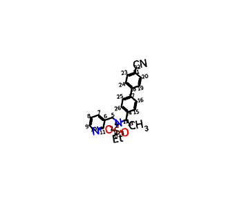 CCS(=O)(=O)N(Cc1cccnc1)C(C)c1ccc(-c2ccc(C#N)cc2)cc1